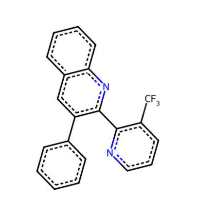 FC(F)(F)c1cccnc1-c1nc2ccccc2cc1-c1ccccc1